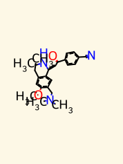 COc1cc2c(cc1CN(C)C)C(=CC(=O)c1ccc(C#N)cc1)NC(C)(C)C2